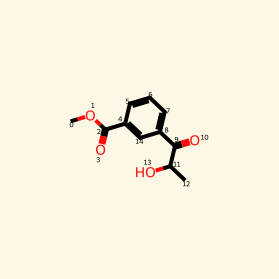 COC(=O)c1cccc(C(=O)C(C)O)c1